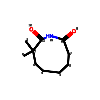 CC1(C)CCCCCC(=O)NC1=O